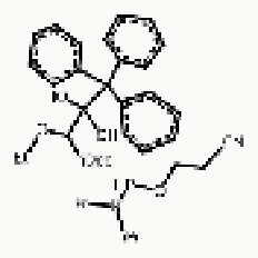 CC(C)N(POCCC#N)C(C)C.CCCCCCCCCCC(OCC)C(O)(O)C(c1ccccc1)(c1ccccc1)c1ccccc1